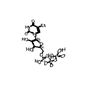 CCc1cn([C@H]2O[C@@H](COP(=O)(O)OP(=O)(O)OP(=O)(O)O)C(O)C2O)c(=O)[nH]c1=O